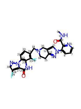 CNC(=O)c1ncccc1-n1cc2c(n1)CCN(Cc1ccc3c([nH]c(=O)c4c(F)cnn43)c1F)C2